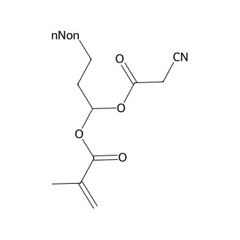 C=C(C)C(=O)OC(CCCCCCCCCCC)OC(=O)CC#N